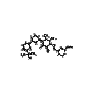 CSc1cccc(COc2c(C)c(C)n(-c3ccnc(-c4ccnc(C(C)(C)O)n4)c3)c(=O)c2Br)c1